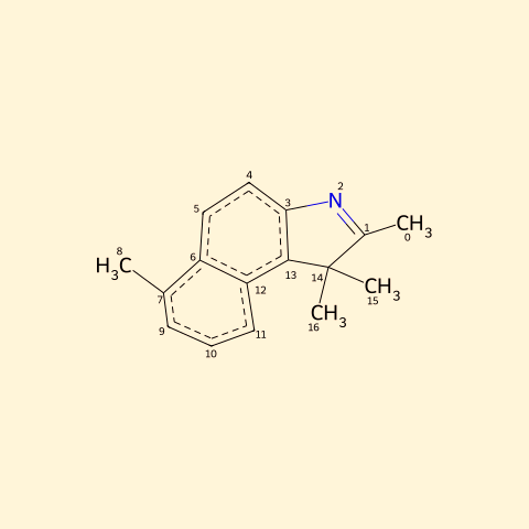 CC1=Nc2ccc3c(C)cccc3c2C1(C)C